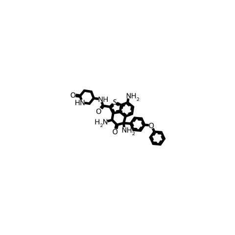 Nc1ccc2c3c(c(C(=O)NC4CCC(=O)NC4)sc13)C(N)C(=O)C2(N)c1ccc(Oc2ccccc2)cc1